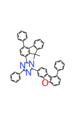 CC1(C)c2ccccc2-c2c(-c3ccccc3)ccc(-c3nc(-c4ccccc4)nc(-c4ccc5c(c4)oc4cccc(-c6ccccc6)c45)n3)c21